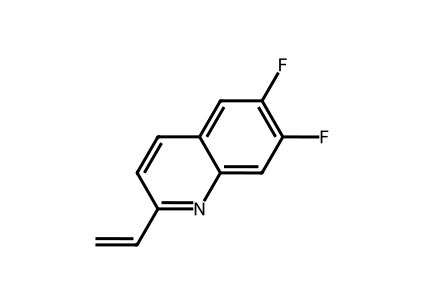 C=Cc1ccc2cc(F)c(F)cc2n1